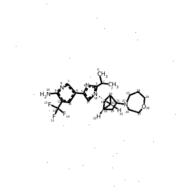 CC(C)c1nc(-c2cnc(N)c(C(F)(F)F)c2)cn1[C@@]12C3C(N4CCCOCC4)C[C@H]1[C@@H]32